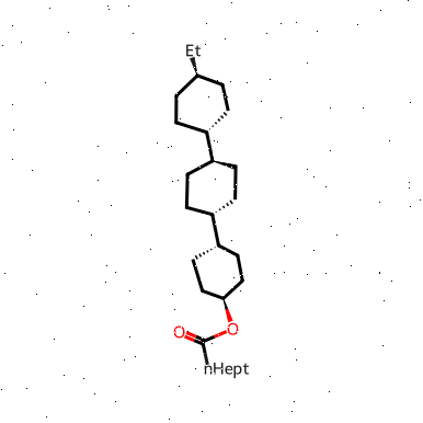 CCCCCCCC(=O)O[C@H]1CC[C@H]([C@H]2CC[C@H]([C@H]3CC[C@H](CC)CC3)CC2)CC1